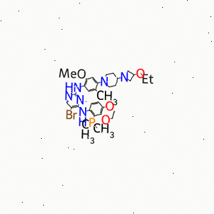 CCOC1CN(C2CCN(c3cc(OC)c(Nc4ncc(Br)c(Nc5ccc6c(c5P(C)C)OCCO6)n4)cc3C)CC2)C1